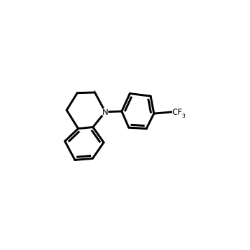 FC(F)(F)c1ccc(N2[CH]CCc3ccccc32)cc1